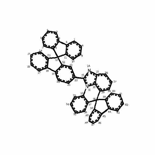 c1ccc2c(c1)-c1ccccc1C21c2ccccc2-c2ccc(-c3nc4cccc5c4n3-c3ccccc3C53c4ccccc4-c4ccccc43)cc21